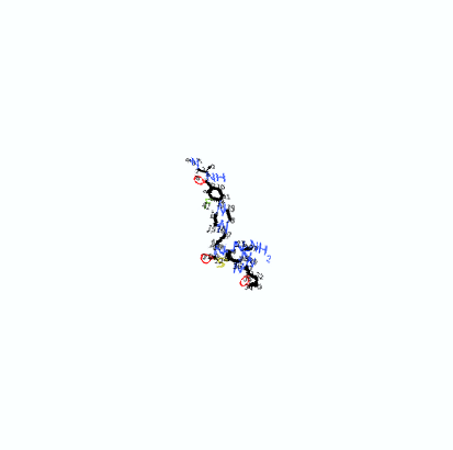 C[C@H](CN(C)C)NC(=O)c1ccc(N2CCN(CCn3c(=O)sc4c3nc(N)n3nc(-c5ccco5)nc43)CC2)c(F)c1